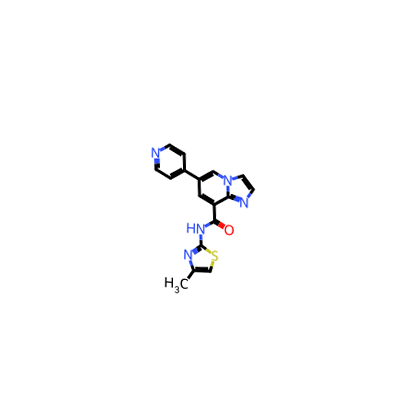 Cc1csc(NC(=O)c2cc(-c3ccncc3)cn3ccnc23)n1